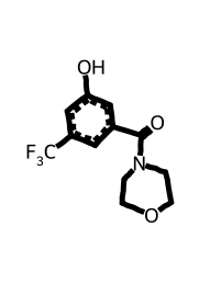 O=C(c1cc(O)cc(C(F)(F)F)c1)N1CCOCC1